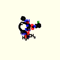 CN(C)S(=O)(=O)NC(=O)[C@@]12C[C@H]1/C=C\CCCCC[C@H](Nc1ccccc1)C(=O)N1C[C@H](OC(=O)N3Cc4cccc(F)c4C3)C[C@H]1C(=O)N2